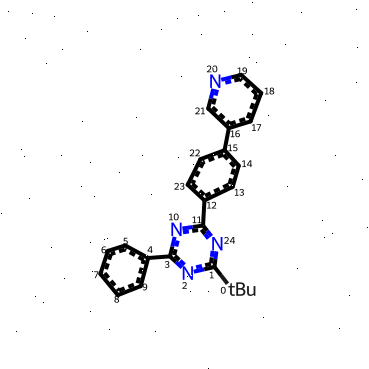 CC(C)(C)c1nc(-c2ccccc2)nc(-c2ccc(-c3cccnc3)cc2)n1